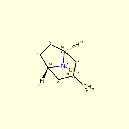 CC1C[C@@H]2CC[C@@H](C1)N2C